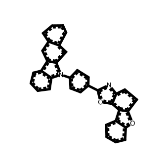 c1ccc2cc3c(cc2c1)c1ccccc1n3-c1ccc(-c2nc3ccc4oc5ccccc5c4c3o2)cc1